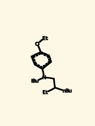 CCCCC(CC)CN(c1ccc(OCC)cc1)C(C)CC